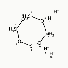 O1[SiH2]O[SiH2]O[SiH2]O[SiH2]1.[H+].[H+].[H+].[H+]